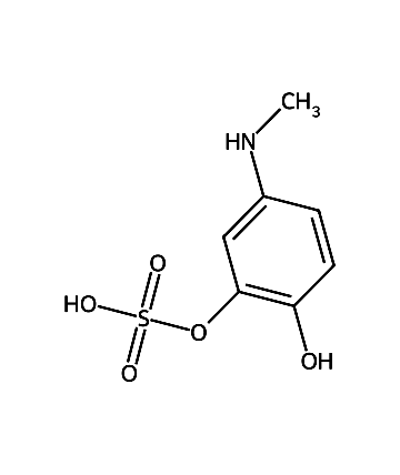 CNc1ccc(O)c(OS(=O)(=O)O)c1